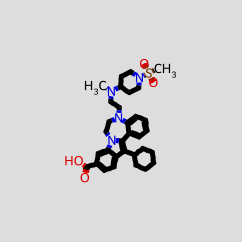 CN(CCN1CCn2c(c(C3CCCCC3)c3ccc(C(=O)O)cc32)-c2ccccc21)C1CCN(S(C)(=O)=O)CC1